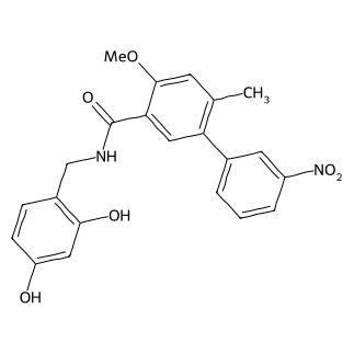 COc1cc(C)c(-c2cccc([N+](=O)[O-])c2)cc1C(=O)NCc1ccc(O)cc1O